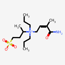 CCC[N+](CC=C(C)C(N)=O)(CCC)C(C)CCS(=O)(=O)[O-]